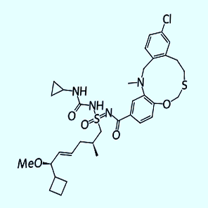 CO[C@@H](/C=C/C[C@H](C)CS(=O)(=NC(=O)c1ccc2c(c1)N(C)Cc1ccc(Cl)cc1CCSCO2)NC(=O)NC1CC1)C1CCC1